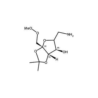 COOC[C@@]12OC(CN)[C@@H](O)[C@@H]1OC(C)(C)O2